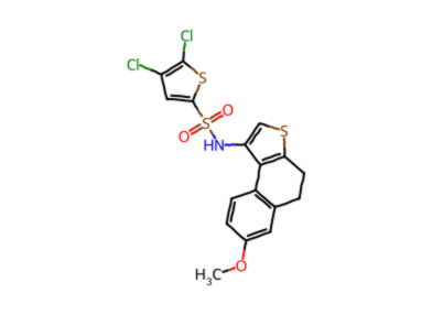 COc1ccc2c(c1)CCc1scc(NS(=O)(=O)c3cc(Cl)c(Cl)s3)c1-2